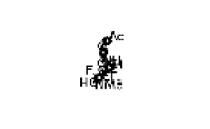 [2H]Oc1ccc(C(c2ccc(O)c(NC)c2)(C(F)(F)F)C(F)(F)F)cc1NC(=O)c1ccc(Oc2ccc(C(C)=O)cc2)cc1